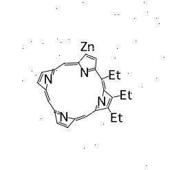 CCC1=C(CC)C2=C(CC)C3=NC(=CC4=NC(=CC5=NC(=CC1=N2)C=C5)C=C4)C=C3.[Zn]